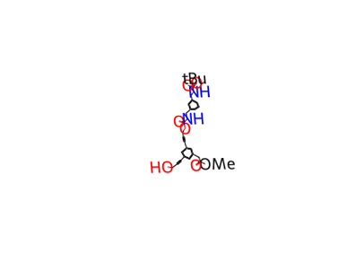 COC(=O)Cc1cc(C#CCO)cc(C#CCOC(=O)NCc2cccc(CNC(=O)OC(C)(C)C)c2)c1